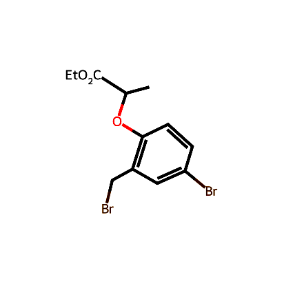 CCOC(=O)C(C)Oc1ccc(Br)cc1CBr